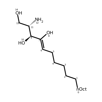 CCCCCCCCCCCCC/C=C(\O)[C@@H](O)[C@@H](N)CO